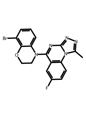 Cc1nnc2nc(N3CCOc4c(Br)cccc43)c3cc(F)ccc3n12